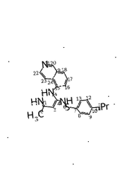 CC(=N)/C=C(/NSc1ccc(C(C)C)cc1)Nc1cccc2cnccc12